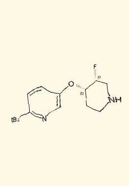 CC(C)(C)c1ccc(O[C@H]2CCNC[C@H]2F)cn1